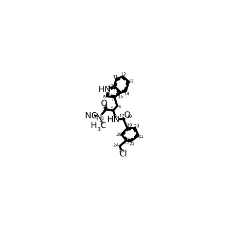 CN(C#N)C(=O)C(Cc1c[nH]c2ccccc12)NC(=O)c1cccc(CCl)c1